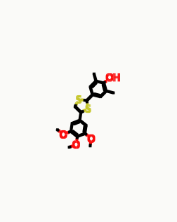 COc1cc(C2CSC(c3cc(C)c(O)c(C)c3)S2)cc(OC)c1OC